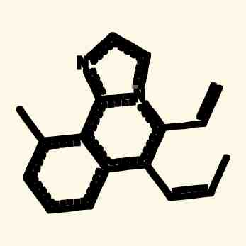 C=Cc1c(/C=C\C)c2cccc(C)c2c2nccn12